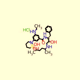 CCCCC(C)NC[C@H](O)[C@H](Cc1ccccc1)NC(=O)c1cc(NCC)cc(N2CCCCS2(O)O)c1.Cl